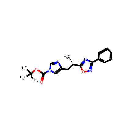 C[C@@H](Cc1cn(C(=O)OC(C)(C)C)cn1)c1nc(-c2ccccc2)no1